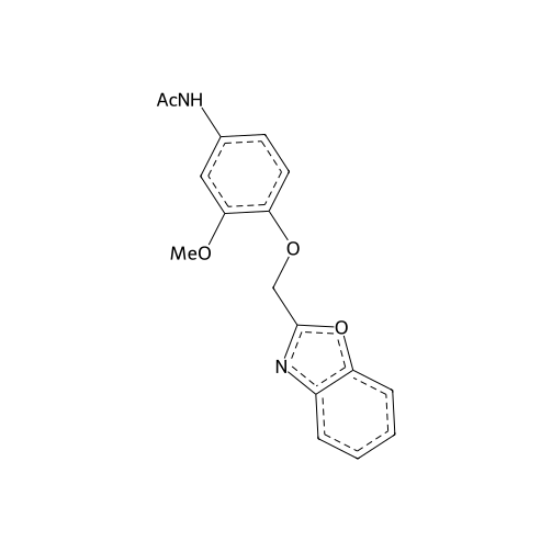 COc1cc(NC(C)=O)ccc1OCc1nc2ccccc2o1